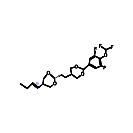 CC/C=C/[C@H]1CO[C@H](CCC2COC(c3cc(F)c(OC(F)F)c(F)c3)OC2)OC1